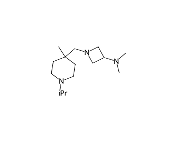 CC(C)N1CCC(C)(CN2CC(N(C)C)C2)CC1